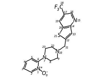 [O-][n+]1ccccc1N1CCN(Cc2cc3ncc(C(F)(F)F)cc3s2)CC1